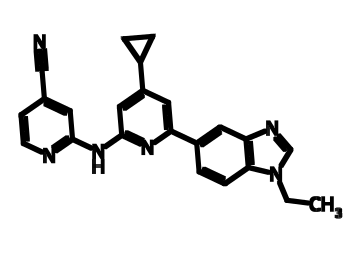 CCn1cnc2cc(-c3cc(C4CC4)cc(Nc4cc(C#N)ccn4)n3)ccc21